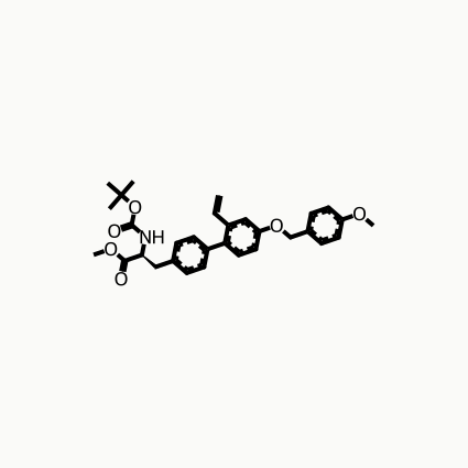 C=Cc1cc(OCc2ccc(OC)cc2)ccc1-c1ccc(C[C@H](NC(=O)OC(C)(C)C)C(=O)OC)cc1